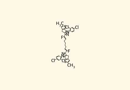 Cc1cc2c(s1)-c1c(c(/C(F)=C/CCCC/C=C(\F)c3nn(-c4ccc(Cl)cc4Cl)c4c3Cc3cc(C)sc3-4)nn1-c1ccc(Cl)cc1Cl)C2